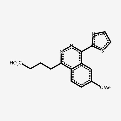 COc1ccc2c(CCCC(=O)O)nnc(-c3nccs3)c2c1